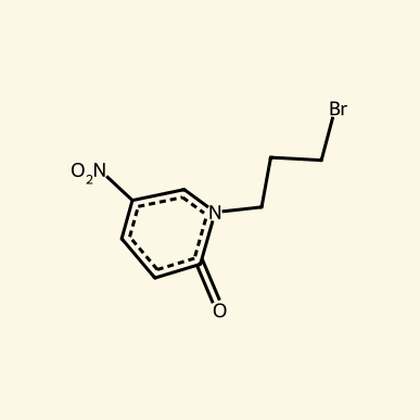 O=c1ccc([N+](=O)[O-])cn1CCCBr